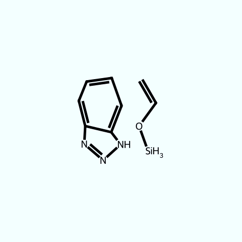 C=CO[SiH3].c1ccc2[nH]nnc2c1